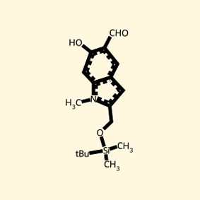 Cn1c(CO[Si](C)(C)C(C)(C)C)cc2cc(C=O)c(O)cc21